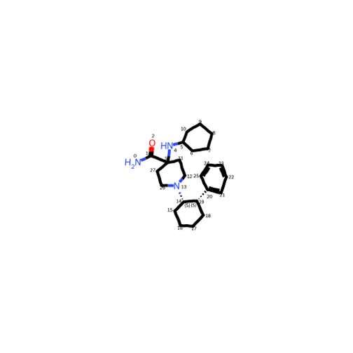 NC(=O)C1(NC2CCCCC2)CCN([C@H]2CCCC[C@H]2c2ccccc2)CC1